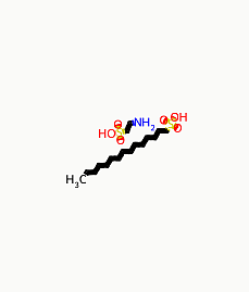 CCCCCCCCCCCCCCCS(=O)(=O)O.NCCS(=O)(=O)O